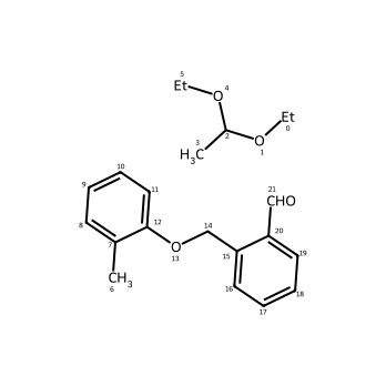 CCOC(C)OCC.Cc1ccccc1OCc1ccccc1C=O